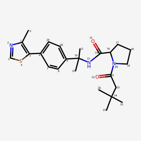 Cc1ncsc1-c1ccc(C(C)(C)NC(=O)C2CCCN2C(=O)CC(C)(C)C)cc1